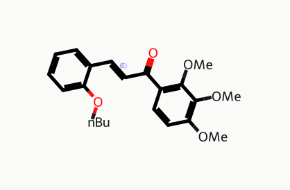 CCCCOc1ccccc1/C=C/C(=O)c1ccc(OC)c(OC)c1OC